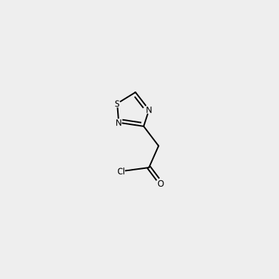 O=C(Cl)Cc1ncsn1